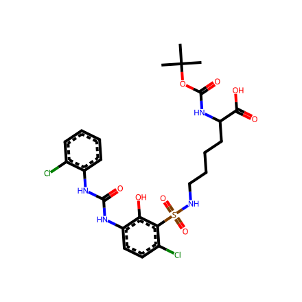 CC(C)(C)OC(=O)NC(CCCCNS(=O)(=O)c1c(Cl)ccc(NC(=O)Nc2ccccc2Cl)c1O)C(=O)O